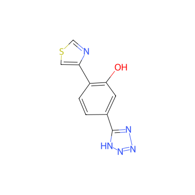 Oc1cc(-c2nnn[nH]2)ccc1-c1cscn1